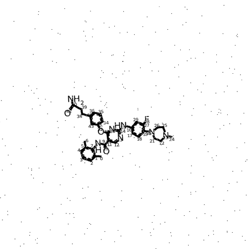 Cc1cccc(C)c1NC(=O)c1cnc(Nc2ccc(N3CCN(C)CC3)c(F)c2)nc1Oc1cccc(CCC(N)=O)c1